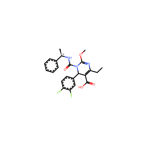 CCC1=C(C(=O)O)C(c2ccc(F)c(F)c2)N(C(=O)N[C@H](C)c2ccccc2)C(OC)=N1